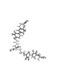 CCCC1CCc2cc(-c3ccc(OCCCCC(CC)(CC)CCCCOc4ccc(-c5cc6c(c(F)c5F)OC(CCC)CC6)c(F)c4F)c(F)c3F)c(F)c(F)c2O1